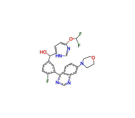 OC(C1=CC=C(OC(F)F)N=CN1)c1ccc(F)c(-c2ncnc3cc(N4CCOCC4)ccc23)c1